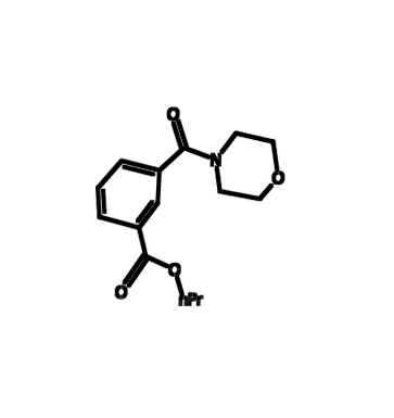 CCCOC(=O)c1cccc(C(=O)N2CCOCC2)c1